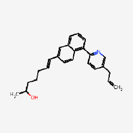 C=CCc1ccc(-c2cccc3cc(/C=C/CCCC(C)O)ccc23)nc1